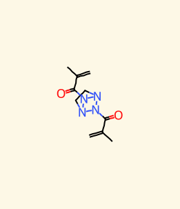 C=C(C)C(=O)N1N2CCN1N2C(=O)C(=C)C